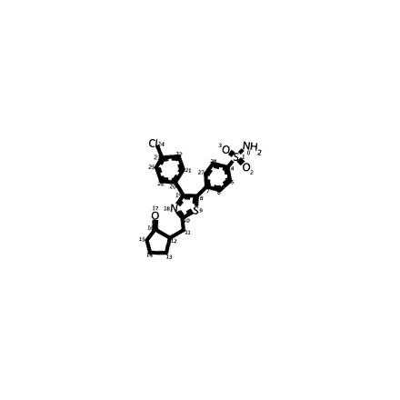 NS(=O)(=O)c1ccc(-c2sc(CC3CCCC3=O)nc2-c2ccc(Cl)cc2)cc1